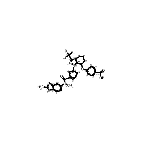 Cc1nc2ccc(N(C)C(=O)c3cccc(-n4nc(C(F)(F)F)c5c4C(Oc4ccc(C(=O)O)cc4)CCC5)c3)cc2o1